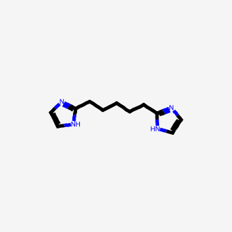 c1c[nH]c(CCCCCc2ncc[nH]2)n1